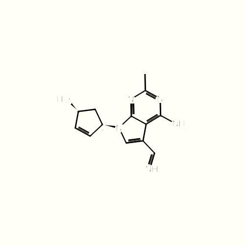 Cc1nc(N)c2c(C=N)cn([C@H]3C=C[C@@H](O)C3)c2n1